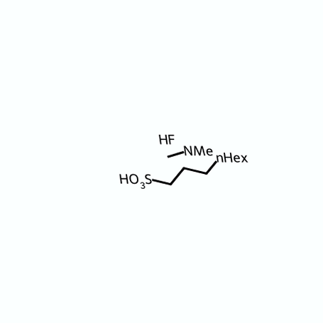 CCCCCCCCCS(=O)(=O)O.CNC.F